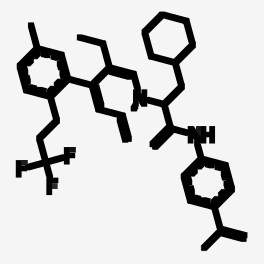 C=C/C=C(\C(=C/N(C)C(CC1CCCCC1)C(=C)Nc1ccc(C(=C)C)cc1)CC)c1cc(C)ccc1CCC(F)(F)F